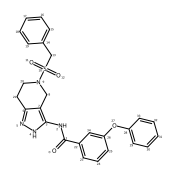 O=C(Nc1[nH]nc2c1CN(S(=O)(=O)Cc1ccccc1)CC2)c1cccc(Oc2ccccc2)c1